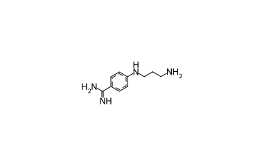 N=C(N)c1ccc(NCCCN)cc1